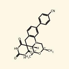 C[C@@H]1CN2c3cc(-c4ccc(C#N)cc4)ccc3CC3(C(=O)NC(=O)NC3=O)[C@H]2[C@H](C)O1